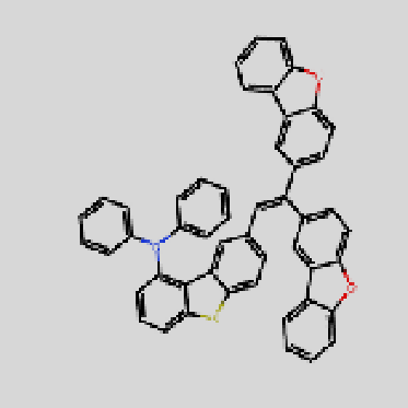 C(=C(c1ccc2oc3ccccc3c2c1)c1ccc2oc3ccccc3c2c1)c1ccc2sc3cccc(N(c4ccccc4)c4ccccc4)c3c2c1